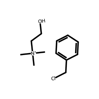 C[N+](C)(C)CCO.ClCc1ccccc1